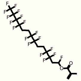 C=C(C)C(=O)OC(F)CC(F)(F)C(F)(F)CCC(F)(F)C(F)(F)CCC(F)(F)C(F)(F)C(F)(F)C(F)(F)F